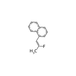 CC(F)=Cc1cccc2ccccc12